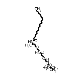 CCCCCC/C=C\CCCCCCCCCCCC(=O)NC(C)CCOCCNC(=O)CCOCCNC(=O)OC(C)(C)C